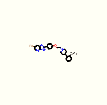 COc1ccccc1C1CCN(CCOc2ccc(-c3nc4cc(Br)cnc4[nH]3)cc2)CC1